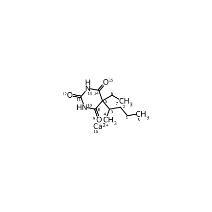 CCCC(C)C1(CC)C(=O)NC(=O)NC1=O.[Ca+2]